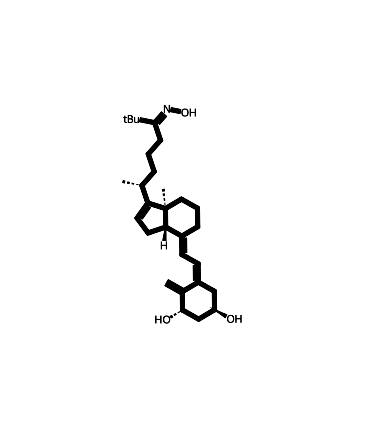 C=C1/C(=C\C=C2/CCC[C@]3(C)C([C@H](C)CCC/C(=N\O)C(C)(C)C)=CC[C@@H]23)C[C@@H](O)C[C@@H]1O